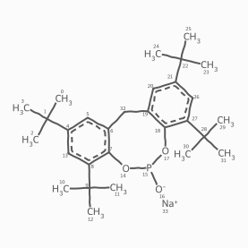 CC(C)(C)c1cc2c(c(C(C)(C)C)c1)OP([O-])Oc1c(cc(C(C)(C)C)cc1C(C)(C)C)C2.[Na+]